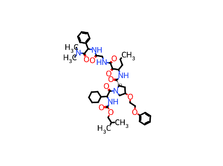 CCCC(NC(=O)[C@@H]1CC(OCCOc2ccccc2)CN1C(=O)C(NC(=O)OCC(C)C)C1CCCCC1)C(=O)C(=O)NCC(=O)NC(C(=O)N(C)C)c1ccccc1